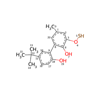 Cc1cc(OS)c(O)c(-c2cc(C(C)(C)C)ccc2O)c1